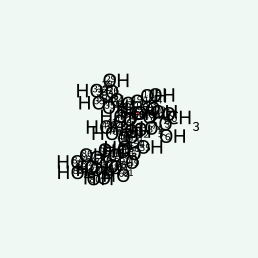 CO[C@@H]1OC(CO)[C@@H](O)[C@H](O[C@@H]2OC(CO)[C@@H](O)[C@H](O[C@@H]3OC(CO[C@@H]4OC(CO)[C@@H](O)[C@H](O)C4O)[C@@H](O)[C@H](O[C@@H]4OC(CO)[C@@H](O)[C@H](O[C@@H]5OC(CO)[C@@H](O)[C@H](O[C@@H]6OC(CO)[C@@H](O)[C@H](O[C@@H]7OC(CO)[C@@H](O)[C@H](O[C@@H]8OC(CO)[C@@H](O)[C@H](O)C8O)C7O)C6O)C5O)C4O)C3O)C2O)C1O